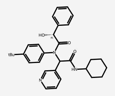 CC(C)(C)c1ccc(N(C(=O)[C@H](O)c2ccccc2)C(C(=O)NC2CCCCC2)c2cccnc2)cc1